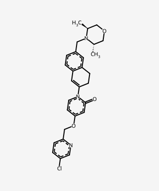 C[C@H]1COC[C@H](C)N1Cc1ccc2c(c1)CCC(n1ccc(OCc3ccc(Cl)cn3)cc1=O)=C2